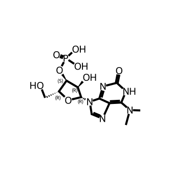 CN(C)c1[nH]c(=O)nc2c1ncn2[C@@H]1O[C@H](CO)[C@@H](OP(=O)(O)O)[C@H]1O